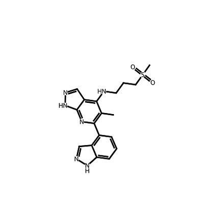 Cc1c(-c2cccc3[nH]ncc23)nc2[nH]ncc2c1NCCCS(C)(=O)=O